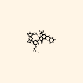 CCOc1cc(C2(Cc3nncn3C)COC2)cc(N2Cc3c(cc(CN4CCCCC4)cc3C(F)(F)F)C2=O)n1